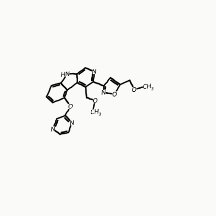 COCc1cc(-c2ncc3[nH]c4cccc(Oc5cnccn5)c4c3c2COC)no1